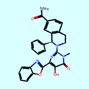 CNC(=O)c1ccc2c(c1)[C@H](c1ccccc1)N(c1nc(-c3nc4ccccc4o3)c(O)c(=O)n1C)CC2